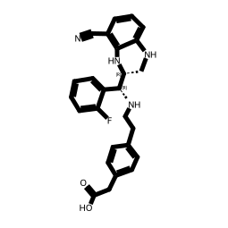 N#Cc1cccc2c1N[C@@H]([C@H](NCCc1ccc(CC(=O)O)cc1)c1ccccc1F)CN2